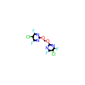 Fc1nc(OCOc2nc(F)c(Cl)c(F)n2)nc(F)c1Cl